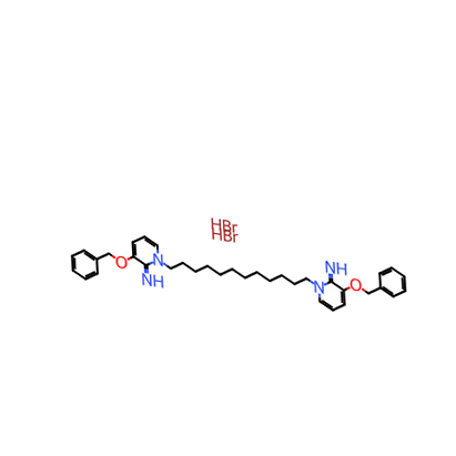 Br.Br.N=c1c(OCc2ccccc2)cccn1CCCCCCCCCCCCn1cccc(OCc2ccccc2)c1=N